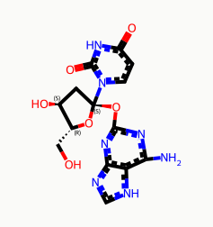 Nc1nc(O[C@]2(n3ccc(=O)[nH]c3=O)C[C@H](O)[C@@H](CO)O2)nc2nc[nH]c12